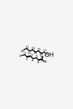 CCC=CCCC=C(C)C.CCCCCCCCO